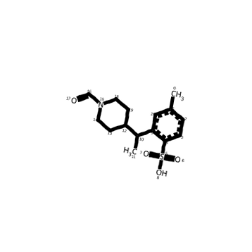 Cc1ccc(S(=O)(=O)O)c(C(C)C2CCN(C=O)CC2)c1